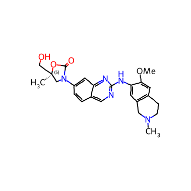 COc1cc2c(cc1Nc1ncc3ccc(N4C[C@@](C)(CO)OC4=O)cc3n1)CN(C)CC2